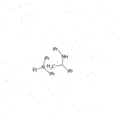 CC(C)NC(C)C(C)C.CCN(C(C)C)C(C)C